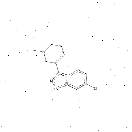 CN1CCC=C(c2n[nH]c3cc(Cl)ccc23)C1